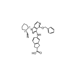 N#C[C@H]1CCCC[C@@H]1n1nc(Nc2ccc3c(c2)CC(C(=O)O)C3)c2c(OCc3ccccc3)nccc21